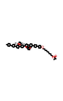 C=C(C)C(=O)OCCCCCCCCCCOc1ccc(-c2ccc(-c3ccc4c(c3)C3(c5cc(-c6ccc7c(c6)C6(c8cc(-c9ccc(-c%10ccc(C)cc%10)cc9)ccc8-7)C7(CC)CCC6(CC)CC7)ccc5-4)C4(C)CCC3(C)CC4)cc2)cc1